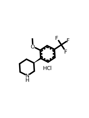 COc1cc(C(F)(F)F)ccc1[C@@H]1CCCNC1.Cl